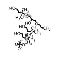 C=CCOCC(O)CO.C[N+](C)(C)CCO.C[N+](C)(C)CCO.C[N+](C)(C)CCO.O=P([O-])([O-])[O-]